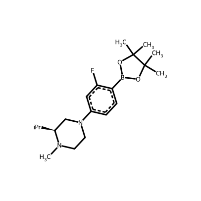 CC(C)[C@H]1CN(c2ccc(B3OC(C)(C)C(C)(C)O3)c(F)c2)CCN1C